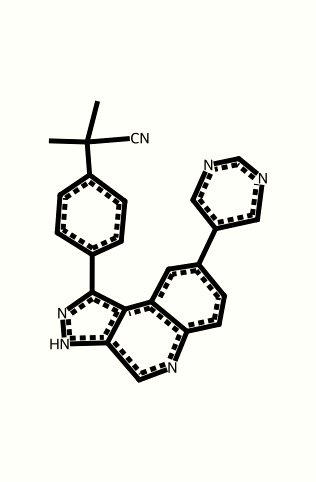 CC(C)(C#N)c1ccc(-c2n[nH]c3cnc4ccc(-c5cncnc5)cc4c23)cc1